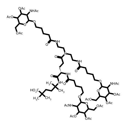 CC(=O)NC1C(OCCCCC(=O)NCCN(CCNC(=O)CCCCOC2OC(COC(C)=O)C(OC(C)=O)C(OC(C)=O)C2NC(C)=O)C(=O)CC[C@H](NC(=O)CCCCOC2OC(COC(C)=O)C(OC(C)=O)C(OC(C)=O)C2NC(C)=O)C(=O)NC(C)(C)CCC(C)(C)C(=O)O)OC(COC(C)=O)C(OC(C)=O)C1OC(C)=O